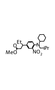 CCC(CC(=O)OC)c1ccc(N(CC(C)C)C2CCCCC2)c([N+](=O)[O-])c1